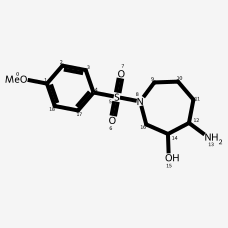 COc1ccc(S(=O)(=O)N2CCCC(N)C(O)C2)cc1